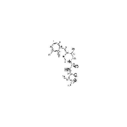 Cc1cccc(C=C2CCN(C(=O)Nc3onc(C)c3C)CC2C)c1F